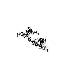 Cc1cc(CC(=O)O)c(-c2ccc(-c3sc(-c4ccc(-c5cc(CC(=O)O)c(-c6ccc(-c7sccc7C)s6)s5)s4)cc3C)s2)s1